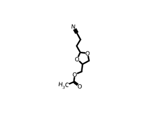 CC(=O)OCC1COC(CCC#N)O1